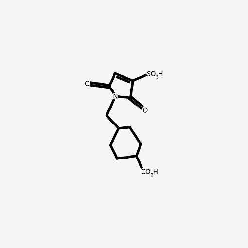 O=C(O)C1CCC(CN2C(=O)C=C(S(=O)(=O)O)C2=O)CC1